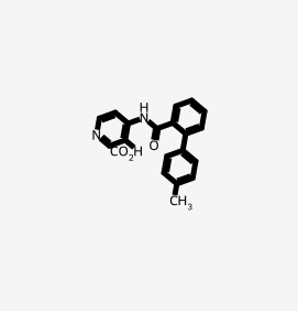 Cc1ccc(-c2ccccc2C(=O)Nc2ccncc2C(=O)O)cc1